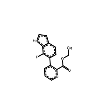 N#CCOC(=O)c1ncccc1-c1ccc2cc[nH]c2c1F